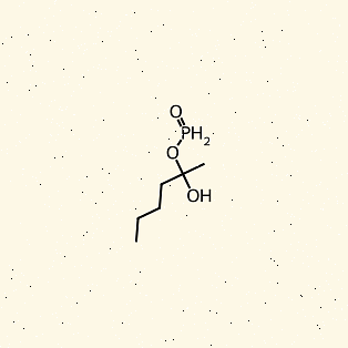 CCCCC(C)(O)O[PH2]=O